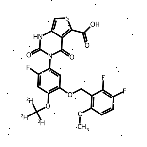 [2H]C([2H])([2H])Oc1cc(F)c(-n2c(=O)[nH]c3csc(C(=O)O)c3c2=O)cc1OCc1c(OC)ccc(F)c1F